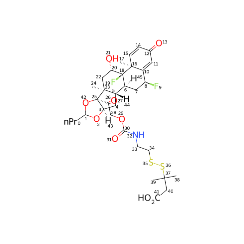 CCCC1O[C@@H]2C[C@H]3[C@@H]4C[C@H](F)C5=CC(=O)C=C[C@]5(C)[C@@]4(F)[C@@H](O)C[C@]3(C)[C@]2(C(=O)COC(=O)NCCSSC(C)(C)CC(=O)O)O1